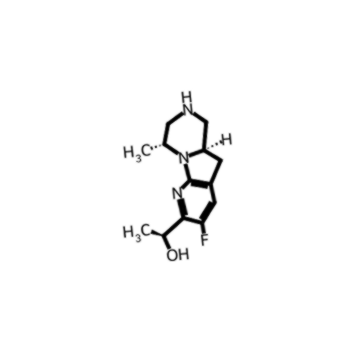 C[C@H](O)c1nc2c(cc1F)C[C@@H]1CNC[C@@H](C)N21